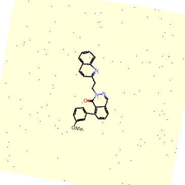 COc1cccc(-c2cccc3cnn(CCc4ccc5ccccc5n4)c(=O)c23)c1